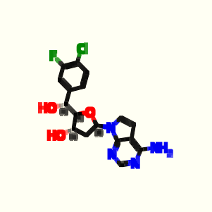 Nc1ncnc2c1ccn2[C@H]1C[C@H](O)[C@@H]([C@H](O)c2ccc(Cl)c(F)c2)O1